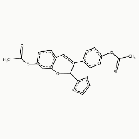 CC(=O)Oc1ccc(C2=Cc3ccc(OC(C)=O)cc3OC2c2nccs2)cc1